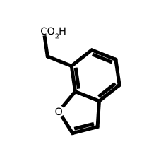 O=C(O)Cc1cccc2ccoc12